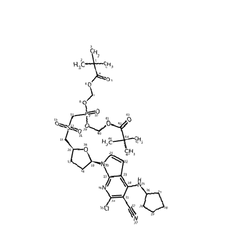 CC(C)(C)C(=O)OCOP(=O)(CS(=O)(=O)C[C@@H]1CC[C@H](n2ccc3c(NC4CCCC4)c(C#N)c(Cl)nc32)O1)OCOC(=O)C(C)(C)C